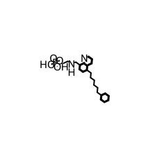 O=P(O)(O)OCCNCc1ccc(CCCCCCc2ccccc2)c2cccnc12